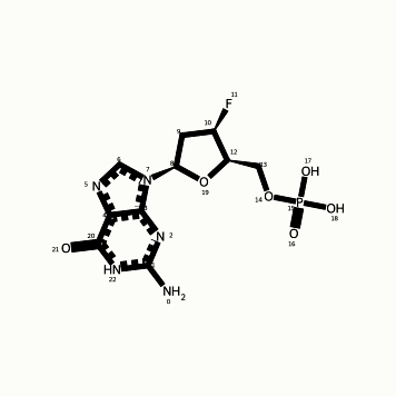 Nc1nc2c(ncn2[C@H]2C[C@@H](F)[C@@H](COP(=O)(O)O)O2)c(=O)[nH]1